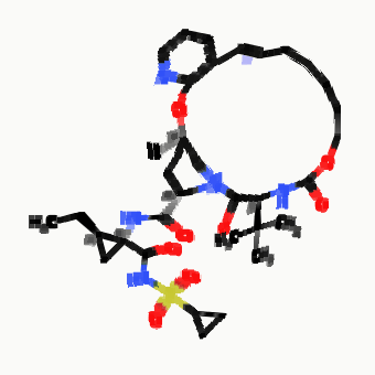 CC[C@@H]1C[C@]1(NC(=O)[C@@H]1C[C@@H]2CN1C(=O)[C@H](C(C)(C)C)NC(=O)OCCCCC/C=C/c1cccnc1O2)C(=O)NS(=O)(=O)C1CC1